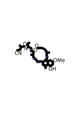 COC1CC(O)C2C(C)=CC3/C=C/C=C/C(C)C(/C=C/c4nc(C(C)CCC#N)oc4C)OC(=O)CC/C=C(C)\C=C\C3(C)C2C1